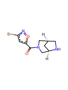 O=C(c1cc(Br)no1)N1C[C@H]2CN[C@H](C2)C1